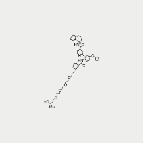 CC(C)(C)C(O)CCOCCOCCOCCOCCCc1cccc(C(=O)Nc2ccc(OC3CCC3)cc2-c2cc(C(=O)N[C@H]3CCCc4ccccc43)ccn2)c1